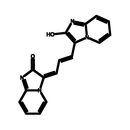 O=C1N=C2C=CC=CN2C1=CC=Cc1c(O)nc2ccccn12